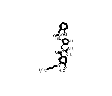 COCCCOc1cc(C(=O)N(C[C@@H]2CNC[C@H]2NS(=O)(=O)Cc2ccccc2Cl)C(C)C)ccc1OC